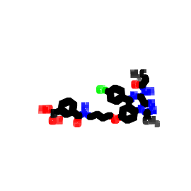 CCC(=O)N[C@@H]1N=C(c2ccc(Cl)cc2)c2cc(OCCCCNC(=O)c3cccc(B(O)O)c3)ccc2-n2c(C)nnc21